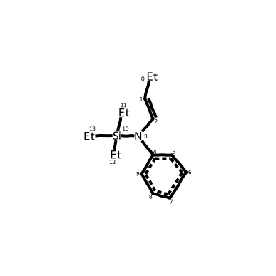 CCC=CN(c1ccccc1)[Si](CC)(CC)CC